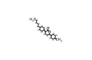 CCCCCC1CCC(C2CCC(C3CCC(C)CC3)OC2=O)CC1